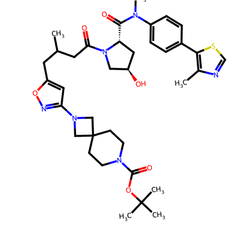 Cc1ncsc1-c1ccc(N(C)C(=O)[C@@H]2C[C@@H](O)CN2C(=O)CC(C)Cc2cc(N3CC4(CCN(C(=O)OC(C)(C)C)CC4)C3)no2)cc1